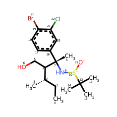 CC[C@H](C)C(CO)[C@@](C)(N[S+]([O-])C(C)(C)C)c1ccc(Br)c(Cl)c1